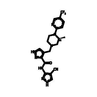 C[C@@H]1CN(Cc2c[nH]nc2C(=O)Nc2n[nH]cc2C#N)CCN1c1ccc(C(F)(F)F)cn1